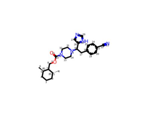 C[C@@H]1CCC[C@@H](C)C1COC(=O)N1CCN(C(Cc2ccc(C#N)cc2)c2cnc[nH]2)CC1